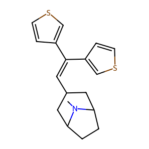 CN1C2CCC1CC(C=C(c1ccsc1)c1ccsc1)C2